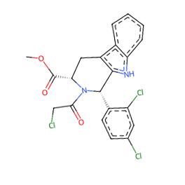 COC(=O)[C@@H]1Cc2c([nH]c3ccccc23)[C@H](c2ccc(Cl)cc2Cl)N1C(=O)CCl